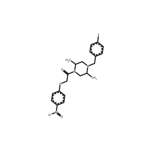 CC1CN(C(=O)COc2ccc([N+](=O)[O-])cc2)C(C)CN1Cc1ccc(F)cc1